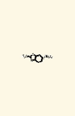 CC(=O)N[C@@H]1CCc2nc(N)sc2C1